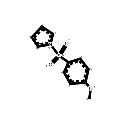 COc1ccc(S(=O)(=O)n2c[c]cc2)cc1